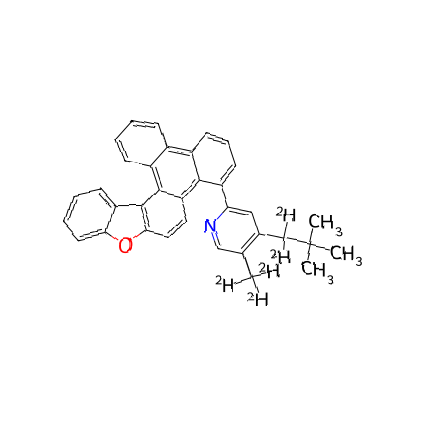 [2H]C([2H])([2H])c1cnc(-c2cccc3c4ccccc4c4c(ccc5oc6ccccc6c54)c23)cc1C([2H])([2H])C(C)(C)C